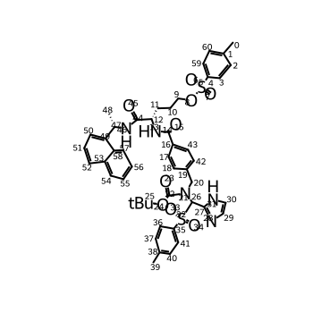 Cc1ccc(S(=O)(=O)OCCC[C@H](NC(=O)c2ccc(CN(C(=O)OC(C)(C)C)C(c3ncc[nH]3)S(=O)(=O)c3ccc(C)cc3)cc2)C(=O)N[C@@H](C)c2cccc3ccccc23)cc1